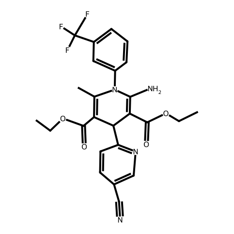 CCOC(=O)C1=C(C)N(c2cccc(C(F)(F)F)c2)C(N)=C(C(=O)OCC)C1c1ccc(C#N)cn1